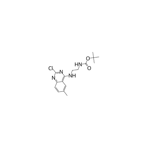 Cc1ccc2nc(Cl)nc(NCCNC(=O)OC(C)(C)C)c2c1